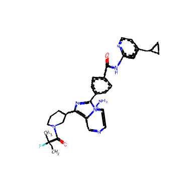 CC(C)(F)C(=O)N1CCCC(C2=C3C=NC=C[N+]3(N)C(c3ccc(C(=O)Nc4cc(C5CC5)ccn4)cc3)=N2)C1